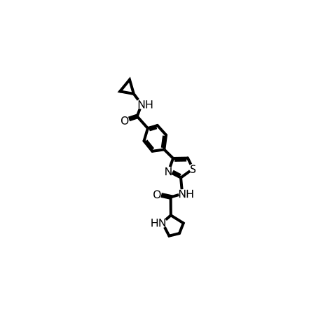 O=C(NC1CC1)c1ccc(-c2csc(NC(=O)C3CCCN3)n2)cc1